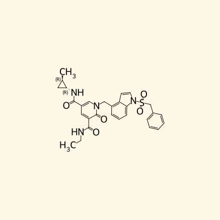 CCNC(=O)c1cc(C(=O)N[C@@H]2C[C@H]2C)cn(Cc2cccc3c2ccn3S(=O)(=O)Cc2ccccc2)c1=O